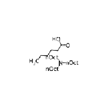 CCCCCC(=O)O.CCCCCCCCN(CCCCCCCC)CCCCCCCC